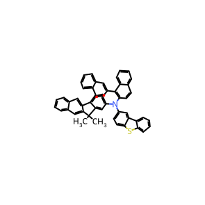 CC1(C)c2cc(N(c3ccc4sc5ccccc5c4c3)c3ccc4ccccc4c3-c3ccc4ccccc4c3)ccc2-c2cc3ccccc3cc21